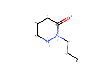 CC[CH]N1NCCCC1=O